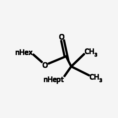 CCCCCCCC(C)(C)C(=O)OCCCCCC